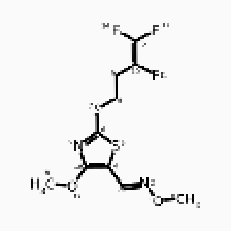 CON=Cc1sc(SCCC(F)=C(F)F)nc1OC